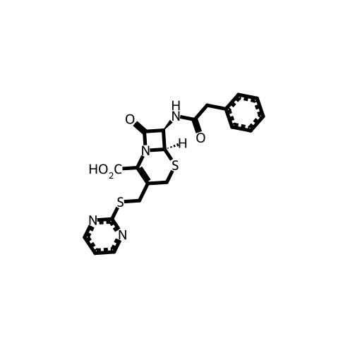 O=C(Cc1ccccc1)N[C@@H]1C(=O)N2C(C(=O)O)=C(CSc3ncccn3)CS[C@H]12